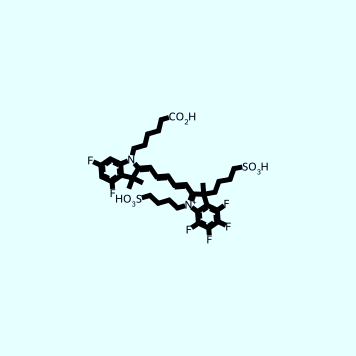 CC1(CCCCS(=O)(=O)O)C(/C=C/C=C/C=C2/N(CCCCCC(=O)O)c3cc(F)cc(F)c3C2(C)C)=[N+](CCCCS(=O)(=O)O)c2c(F)c(F)c(F)c(F)c21